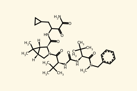 CN(Cc1ccccc1)C(=O)[C@@H](NC(=O)N[C@H](C(=O)N1C[C@H]2[C@@H]([C@H]1C(=O)NC(CC1CC1)C(=O)C(N)=O)C2(C)C)C(C)(C)C)C(C)(C)C